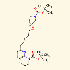 CC(C)(C)OC(=O)N1CC[C@@H](OCCCCCc2ccc3c(n2)N(C(=O)OC(C)(C)C)CCC3)C1